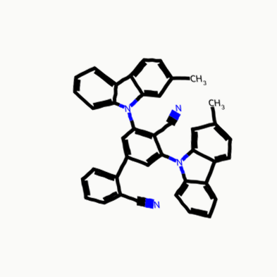 Cc1ccc2c3ccccc3n(-c3cc(-c4ccccc4C#N)cc(-n4c5ccccc5c5ccc(C)cc54)c3C#N)c2c1